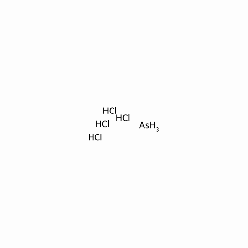 Cl.Cl.Cl.Cl.[AsH3]